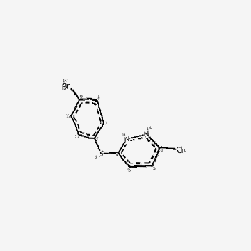 Clc1ccc(Sc2ccc(Br)cc2)nn1